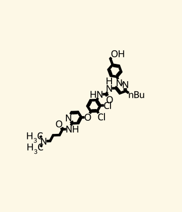 CCCCc1cc(NC(=O)Nc2ccc(Oc3ccnc(NC(=O)CCCN(C)C)c3)c(Cl)c2Cl)n(-c2ccc(CO)cc2)n1